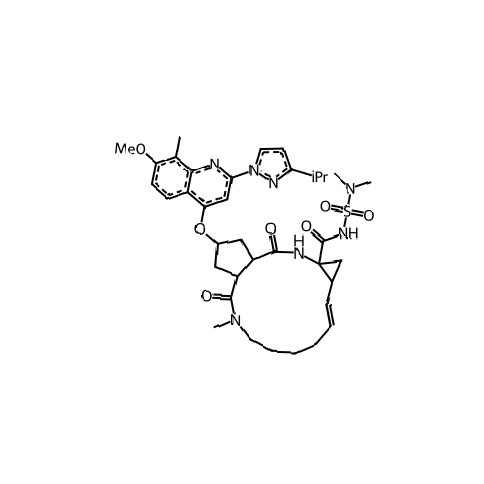 COc1ccc2c(OC3CC4C(=O)NC5(C(=O)NS(=O)(=O)N(C)C)CC5/C=C/CCCCN(C)C(=O)C4C3)cc(-n3ccc(C(C)C)n3)nc2c1C